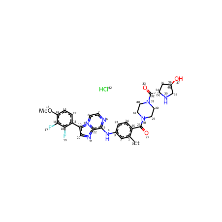 CCc1cc(Nc2nccn3c(-c4ccc(OC)c(F)c4F)cnc23)ccc1C(=O)N1CCN(C(=O)[C@@H]2C[C@@H](O)CN2)CC1.Cl